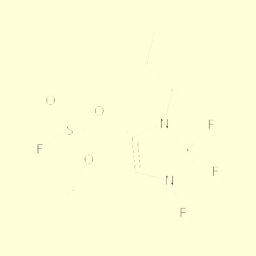 CCCN1C=CN(F)C1(F)F.CCOS(=O)(=O)F